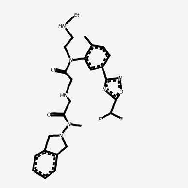 CCNCCN(C(=O)CNCC(=O)N(C)N1Cc2ccccc2C1)c1cc(-c2noc(C(F)F)n2)ccc1C